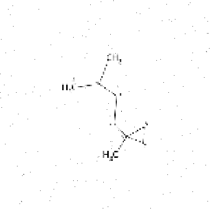 CC(C)CCC1(C)CC1